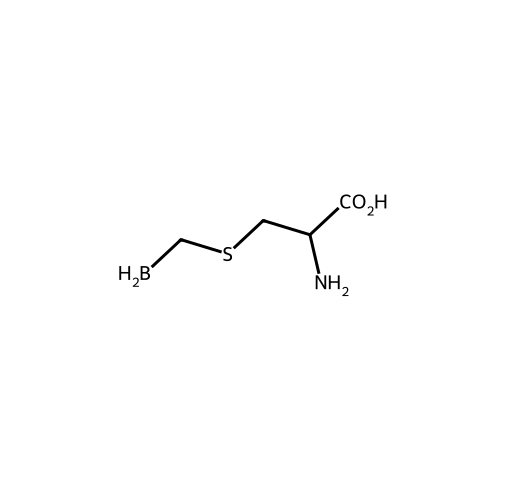 BCSCC(N)C(=O)O